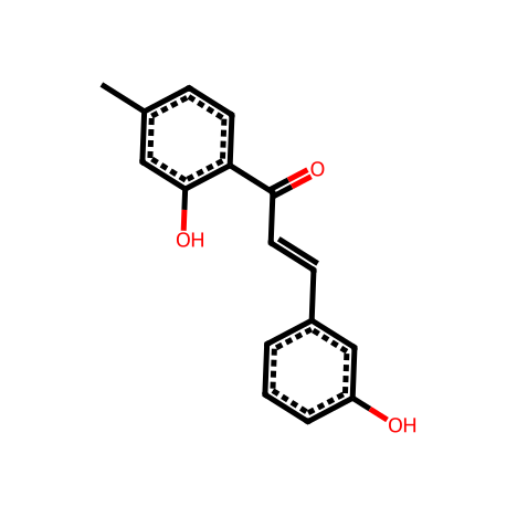 Cc1ccc(C(=O)C=Cc2cccc(O)c2)c(O)c1